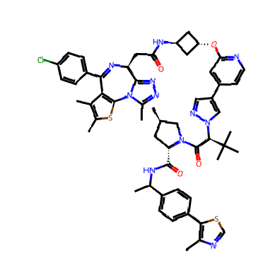 Cc1ncsc1-c1ccc(C(C)NC(=O)[C@@H]2C[C@@H](C)CN2C(=O)[C@@H](n2cc(-c3ccnc(O[C@H]4C[C@H](NC(=O)C[C@@H]5N=C(c6ccc(Cl)cc6)c6c(sc(C)c6C)-n6c(C)nnc65)C4)c3)cn2)C(C)(C)C)cc1